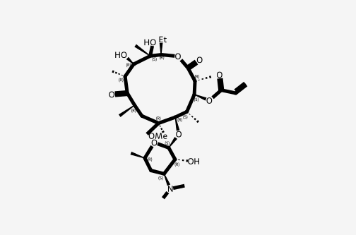 C=CC(=O)O[C@H]1[C@H](C)[C@@H](O[C@@H]2O[C@H](C)C[C@H](N(C)C)[C@H]2O)[C@](C)(OC)C[C@@H](C)C(=O)[C@H](C)[C@@H](O)[C@](C)(O)[C@@H](CC)OC(=O)[C@@H]1C